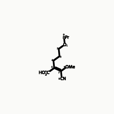 CCCOCCCC(C(=O)O)=C(C#N)OC